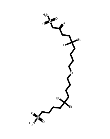 CCC(CC)(CCCCOCCCCC(CC)(CC)CCC(=O)CS(N)(=O)=O)CCCCS(N)(=O)=O